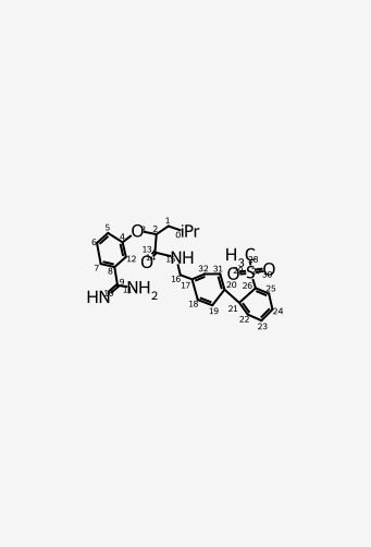 CC(C)CC(Oc1cccc(C(=N)N)c1)C(=O)NCc1ccc(-c2ccccc2S(C)(=O)=O)cc1